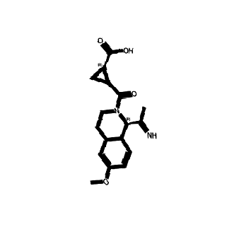 COC1=CC2CCN(C(=O)C3C[C@H]3C(=O)O)[C@@H](C(C)=N)C2C=C1